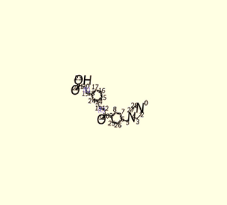 CN1CCN(Cc2ccc(C(=O)/C=C/c3cccc(/C=C/C(=O)O)c3)cc2)CC1